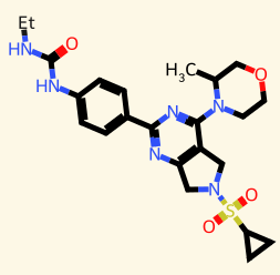 CCNC(=O)Nc1ccc(-c2nc3c(c(N4CCOCC4C)n2)CN(S(=O)(=O)C2CC2)C3)cc1